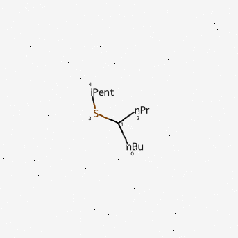 CCCCC(CCC)SC(C)CCC